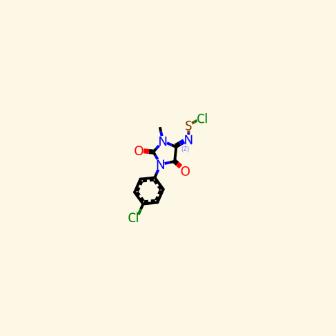 CN1C(=O)N(c2ccc(Cl)cc2)C(=O)/C1=N/SCl